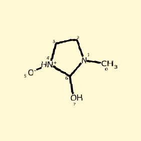 CN1CC[NH+]([O-])C1O